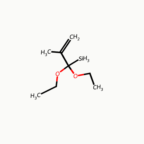 C=C(C)C([SiH3])(OCC)OCC